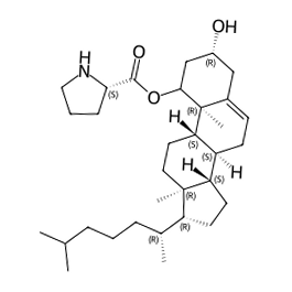 CC(C)CCC[C@@H](C)[C@H]1CC[C@H]2[C@@H]3CC=C4C[C@@H](O)CC(OC(=O)[C@@H]5CCCN5)[C@]4(C)[C@H]3CC[C@]12C